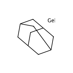 C1C2CC3CC1CC(C2)C3.[Ge]